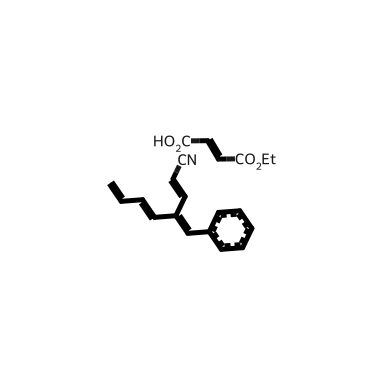 C=CC=CC(C=CC#N)=Cc1ccccc1.CCOC(=O)C=CC(=O)O